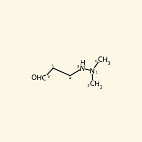 CN(C)NCCC=O